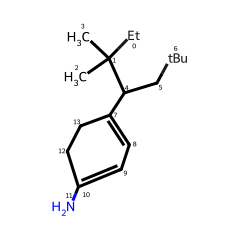 CCC(C)(C)C(CC(C)(C)C)C1=CC=C(N)CC1